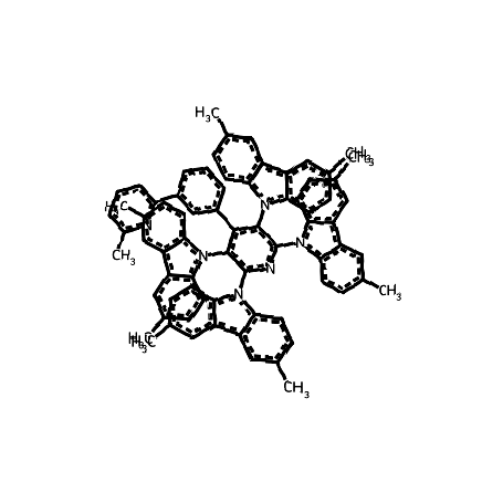 Cc1ccc2c(c1)c1cc(C)ccc1n2-c1nc(-n2c3ccc(C)cc3c3cc(C)ccc32)c(-n2c3ccc(C)cc3c3cc(C)ccc32)c(-c2cccc(-c3cccc(C)n3)c2)c1-n1c2ccc(C)cc2c2cc(C)ccc21